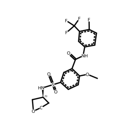 COc1ccc(S(=O)(=O)N[C@H]2CCOC2)cc1C(=O)Nc1ccc(F)c(C(F)(F)F)c1